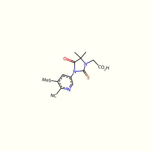 CSc1cc(N2C(=O)C(C)(C)N(CC(=O)O)C2=S)cnc1C#N